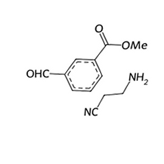 COC(=O)c1cccc(C=O)c1.N#CCCN